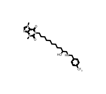 Cn1cnc2c1c(=O)n(CCCCCCCCCC(O)CNCc1ccc(C(F)(F)F)cc1)c(=O)n2C